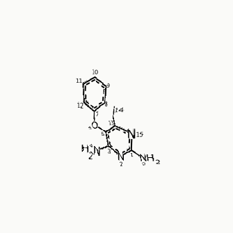 Nc1nc(N)c(Oc2ccccc2)c(I)n1